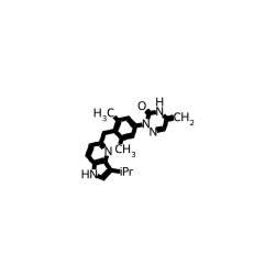 C=C1C=NN(c2cc(C)c(Cc3ccc4[nH]cc(C(C)C)c4n3)c(C)c2)C(=O)N1